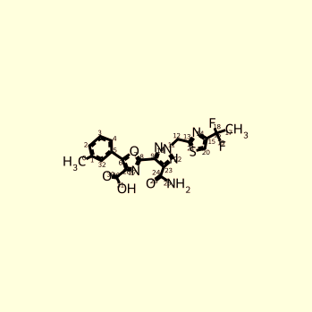 Cc1cccc(-c2oc(-c3nn(Cc4nc(C(C)(F)F)cs4)nc3C(N)=O)nc2C(=O)O)c1